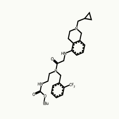 CC(C)(C)OC(=O)NCCN(Cc1ccccc1C(F)(F)F)C(=O)CNc1cccc2c1CCN(CC1CC1)C2